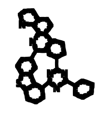 c1ccc(-c2nc(-c3ccccc3)nc(-c3cccc4sc5ccc(-c6ccc7ccc8cccnc8c7n6)cc5c34)n2)cc1